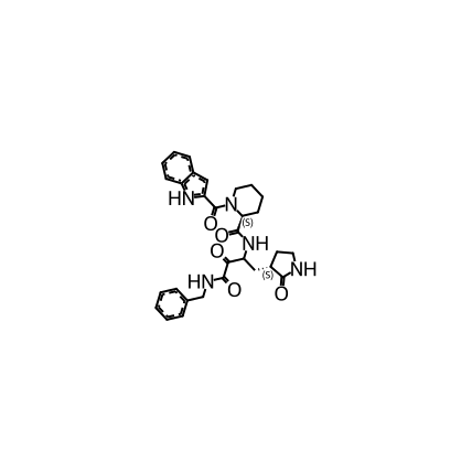 O=C(NCc1ccccc1)C(=O)C(C[C@@H]1CCNC1=O)NC(=O)[C@@H]1CCCCN1C(=O)c1cc2ccccc2[nH]1